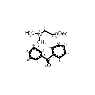 CCCCCCCCCCCCN(C)C.O=C(c1ccccc1)c1ccccc1